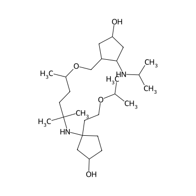 CC(C)NC1CC(O)CC1COC(C)CCC(C)(C)NC1(CCOC(C)C)CCC(O)C1